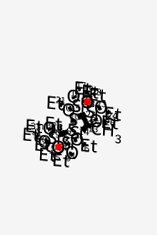 CCO[Si](OCC)(OCC)C(CC)(SSC(C(C)[SiH3])([Si](OCC)(OCC)OCC)[Si](OCC)(OCC)OCC)[Si](OCC)(OCC)OCC